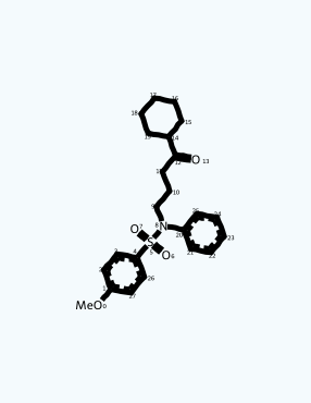 COc1ccc(S(=O)(=O)N(CCCC(=O)C2CCCCC2)c2ccccc2)cc1